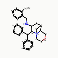 COc1ccccc1CNC1CC2CC3COCC2N3C1C(c1ccccc1)c1ccccc1